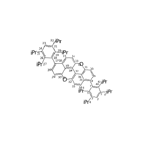 CC(C)c1cc(C(C)C)c(C(C)C)c(-c2ccc3oc4ccc5c(-c6c(C(C)C)c(C(C)C)cc(C(C)C)c6C(C)C)ccc6oc7ccc2c3c7-c4c65)c1C(C)C